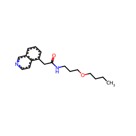 CCCCOCCCNC(=O)Cc1cccc2cnccc12